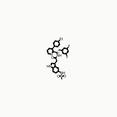 CCc1ccc(-c2cccnc2[C@H](Cc2cc(F)cc(F)c2)NC(=O)Cc2c[nH]c3ccc(NS(C)(=O)=O)cc23)cc1